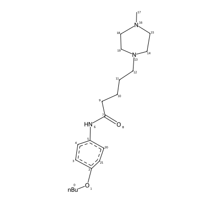 CCCCOc1ccc(NC(=O)CCCCN2CCN(C)CC2)cc1